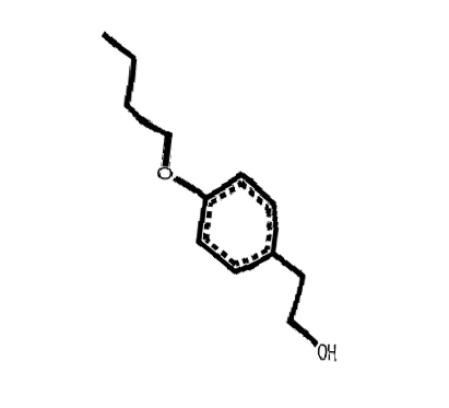 CCCCOc1ccc(CCO)cc1